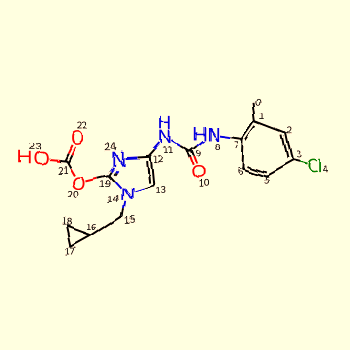 Cc1cc(Cl)ccc1NC(=O)Nc1cn(CC2CC2)c(OC(=O)O)n1